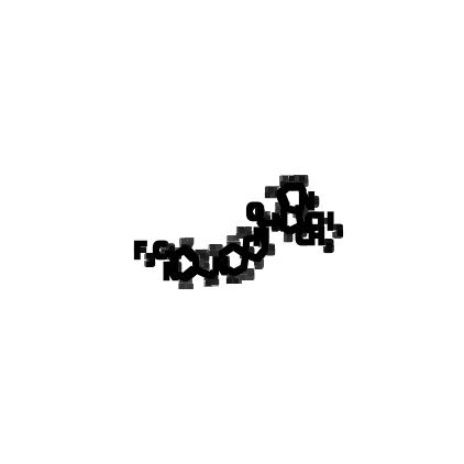 CC1(C)CN(C(=O)N2CCC3(CCN(Cc4ccc(C(F)(F)F)nc4)CC3)C2)c2cccnc21